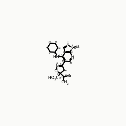 CCn1ncc2c(NC3CCCCC3)c(C3=NOC(C(=O)O)(C(C)Br)C3)cnc21